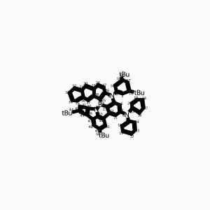 CC(C)(C)c1cc(N2c3cc(N(c4ccccc4)c4ccccc4)cc4c3B(c3c2ccc2cc5ccccc5cc32)n2c3ccc(C(C)(C)C)cc3c3cc(C(C)(C)C)cc-4c32)cc(C(C)(C)C)c1